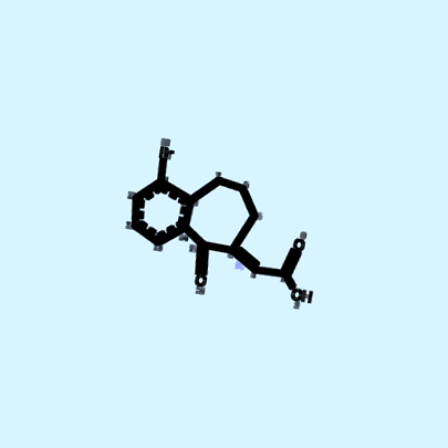 O=C(O)/C=C1\CCCc2c(Br)cccc2C1=O